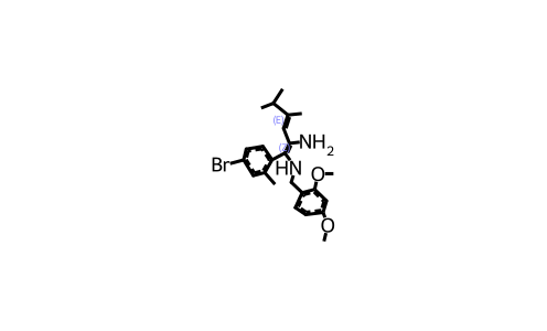 COc1ccc(CN/C(=C(N)/C=C(\C)C(C)C)c2ccc(Br)cc2C)c(OC)c1